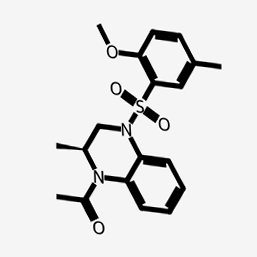 COc1ccc(C)cc1S(=O)(=O)N1C[C@H](C)N(C(C)=O)c2ccccc21